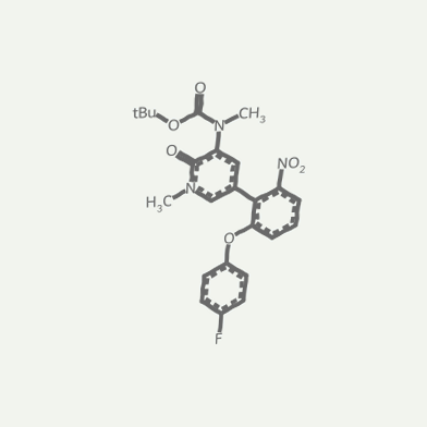 CN(C(=O)OC(C)(C)C)c1cc(-c2c(Oc3ccc(F)cc3)cccc2[N+](=O)[O-])cn(C)c1=O